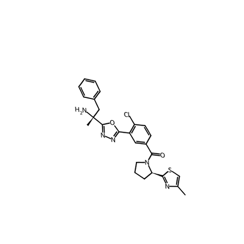 Cc1csc([C@H]2CCCN2C(=O)c2ccc(Cl)c(-c3nnc([C@](C)(N)Cc4ccccc4)o3)c2)n1